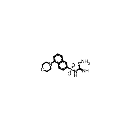 N=C(NS(=O)(=O)c1ccc2c(N3CCOCC3)cccc2c1)SN